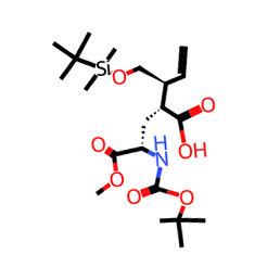 C=C[C@H](CO[Si](C)(C)C(C)(C)C)[C@@H](C[C@H](NC(=O)OC(C)(C)C)C(=O)OC)C(=O)O